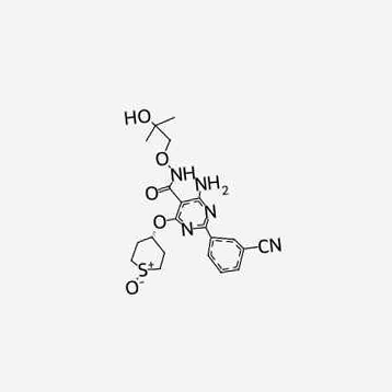 CC(C)(O)CONC(=O)c1c(N)nc(-c2cccc(C#N)c2)nc1O[C@H]1CC[S@@+]([O-])CC1